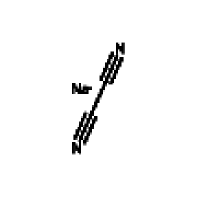 N#CC#N.[Na]